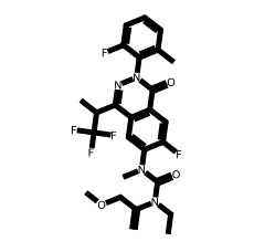 C=C(COC)N(CC)C(=O)N(C)c1cc2c(C(C)C(F)(F)F)nn(-c3c(C)cccc3F)c(=O)c2cc1F